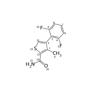 Cc1c(-c2c(F)cccc2F)csc1C(N)=O